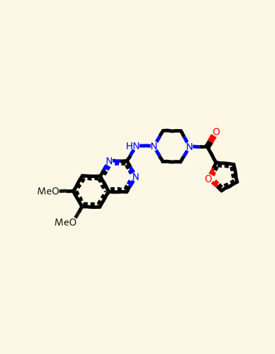 COc1cc2cnc(NN3CCN(C(=O)c4ccco4)CC3)nc2cc1OC